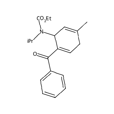 CCOC(=O)N(C(C)C)C1C=C(C)CC=C1C(=O)c1ccccc1